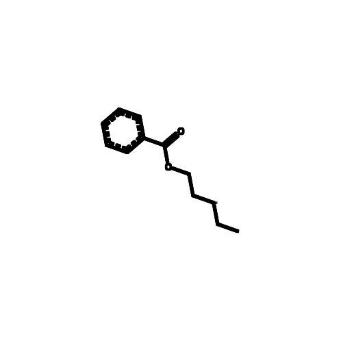 CC[CH]CCOC(=O)c1ccccc1